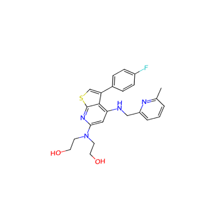 Cc1cccc(CNc2cc(N(CCO)CCO)nc3scc(-c4ccc(F)cc4)c23)n1